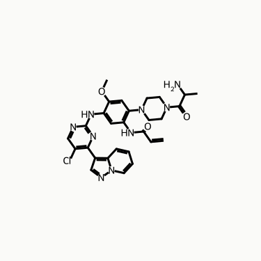 C=CC(=O)Nc1cc(Nc2ncc(Cl)c(-c3cnn4ccccc34)n2)c(OC)cc1N1CCN(C(=O)C(C)N)CC1